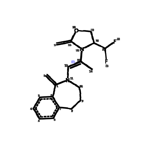 C=C1c2ccccc2CCCN1/C=C(\C)N1C(=C)OCC1C(F)F